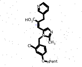 CCCCCOc1ccc(Cn2c(/C=C(\Cc3cccnc3)C(=O)O)cnc2C)c(Cl)c1